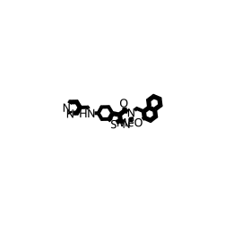 COc1ccc2ccccc2c1Cn1cnc2sc3c(c2c1=O)CCC(NCc1ccnnc1)C3